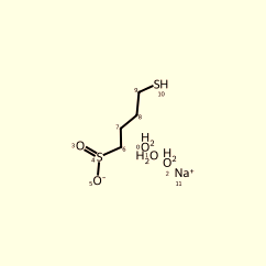 O.O.O.O=S([O-])CCCCS.[Na+]